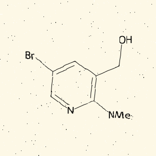 CNc1ncc(Br)cc1CO